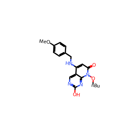 CCCCOn1c(=O)cc(NCc2ccc(OC)cc2)c2cnc(O)nc21